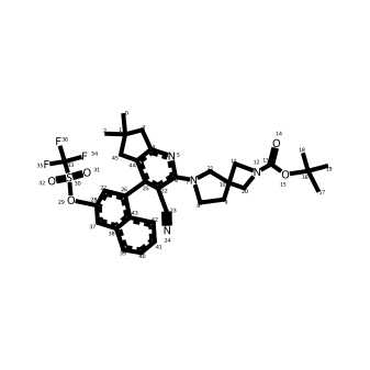 CC1(C)Cc2nc(N3CCC4(CN(C(=O)OC(C)(C)C)C4)C3)c(C#N)c(-c3cc(OS(=O)(=O)C(F)(F)F)cc4ccccc34)c2C1